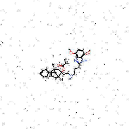 COc1ccc(OC)c2[nH]c(CCCN(C)CC[C@]3(OC(=O)C(C)C)C[C@H]4CCC[C@@H]3C=C4c3ccccc3)nc12